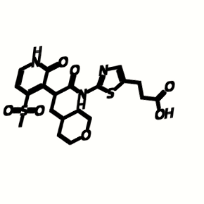 CS(=O)(=O)c1cc[nH]c(=O)c1C(CC1CCOCC1)C(=O)Nc1ncc(CCC(=O)O)s1